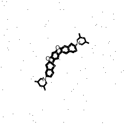 CC1CC(C)CN(c2ccc3cc4c(cc3c2)oc2cc3oc5cc6cc(N7CC(C)CC(C)C7)ccc6cc5c3cc24)C1